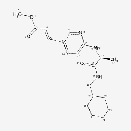 COC(=O)/C=C/c1cnc(N[C@@H](C)C(=O)NCC2CCCCC2)cn1